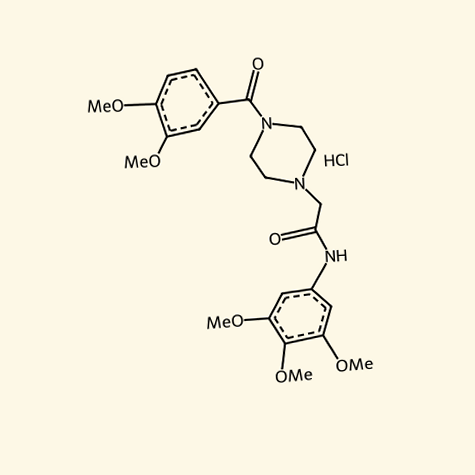 COc1ccc(C(=O)N2CCN(CC(=O)Nc3cc(OC)c(OC)c(OC)c3)CC2)cc1OC.Cl